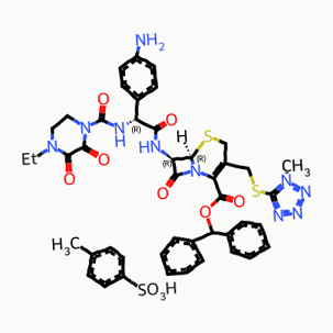 CCN1CCN(C(=O)N[C@@H](C(=O)N[C@@H]2C(=O)N3C(C(=O)OC(c4ccccc4)c4ccccc4)=C(CSc4nnnn4C)CS[C@H]23)c2ccc(N)cc2)C(=O)C1=O.Cc1ccc(S(=O)(=O)O)cc1